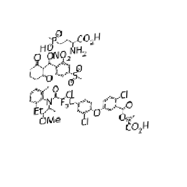 CCc1cccc(C)c1N(C(=O)CCl)C(C)COC.CP(=O)(O)CCC(N)C(=O)O.CS(=O)(=O)c1ccc(C(=O)C2C(=O)CCCC2=O)c([N+](=O)[O-])c1.C[C@H](OC(=O)c1cc(Oc2ccc(C(F)(F)F)cc2Cl)ccc1Cl)C(=O)O